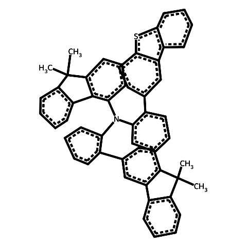 CC1(C)c2ccccc2-c2cc(-c3ccccc3N(c3ccccc3-c3ccc4sc5ccccc5c4c3)c3cccc4c3-c3ccccc3C4(C)C)ccc21